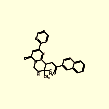 CC1(C)NCn2c(nc(-c3ccncn3)cc2=O)C1CC(=O)c1ccc2ccccc2c1